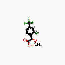 COC(C(=O)O)c1ccc(C(F)(F)F)cc1F